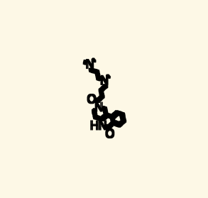 CN(C)CCCN(C)CCCC(=O)N1CCc2[nH]c(=O)c3ccccc3c2C1